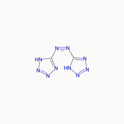 N(=N/c1nnn[nH]1)/c1nnn[nH]1